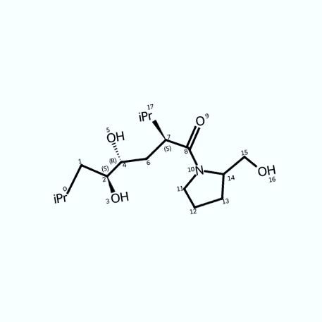 CC(C)C[C@H](O)[C@H](O)C[C@H](C(=O)N1CCCC1CO)C(C)C